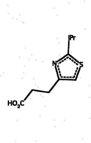 CC(C)c1nc(CCC(=O)O)cs1